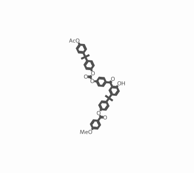 COc1ccc(C(=O)Oc2ccc(C(C)(C)c3ccc(O)c(C(=O)c4ccc(OC(=O)Oc5ccc(C(C)(C)c6ccc(OC(C)=O)cc6)cc5)cc4)c3)cc2)cc1